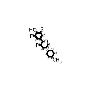 C[C@H]1CC[C@H](C2COC(c3cc(F)c(O)c(F)c3)C(F)C2)CC1